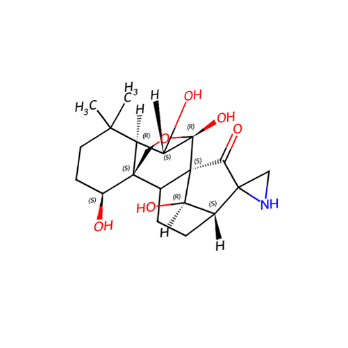 CC1(C)CC[C@H](O)[C@]23CO[C@@](O)([C@@H](O)[C@H]12)[C@]12C(=O)C4(CN4)[C@H](CCC31)[C@H]2O